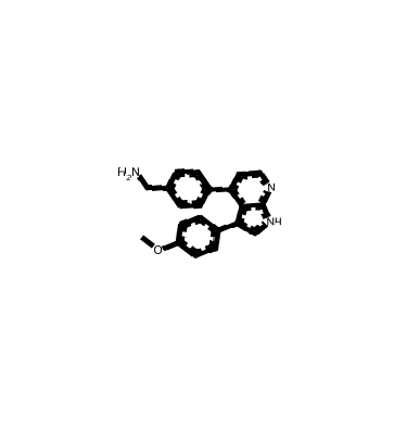 COc1ccc(-c2c[nH]c3nccc(-c4ccc(CN)cc4)c23)cc1